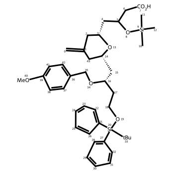 C=C1C[C@H](CC(CC(=O)O)O[Si](C)(C)C)O[C@H](C[C@H](CCO[Si](c2ccccc2)(c2ccccc2)C(C)(C)C)OCc2ccc(OC)cc2)C1